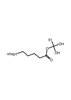 CCCCCCCCCCCC(=O)OC(O)(O)CC